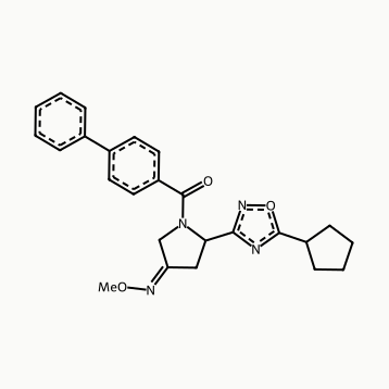 CON=C1CC(c2noc(C3CCCC3)n2)N(C(=O)c2ccc(-c3ccccc3)cc2)C1